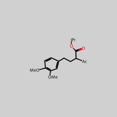 COc1ccc(CCC(C(C)=O)C(=O)OC(C)C)cc1OC